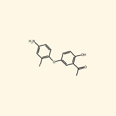 CC(=O)c1cc(Oc2ccc(N)cc2F)ccc1O